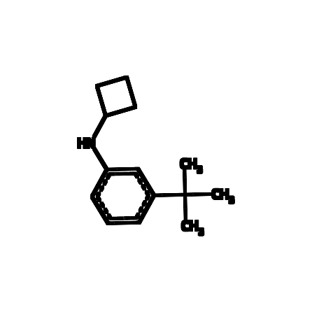 CC(C)(C)c1cccc(NC2CCC2)c1